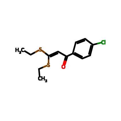 CCSC(=CC(=O)c1ccc(Cl)cc1)SCC